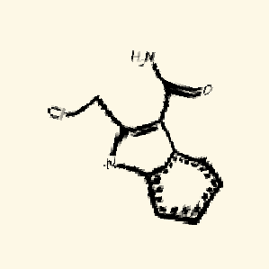 NC(=O)C1=C(CCl)[N]c2ccccc21